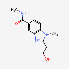 CNC(=O)c1ccc2c(c1)nc(CCO)n2C